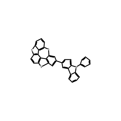 c1ccc(-n2c3ccccc3c3cc(-c4cc5sc6cccc7sc8ccc9sc(c4)c5c9c8c67)ccc32)cc1